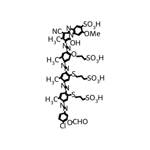 COc1cc2c(cc1S(=O)(=O)O)nc1c(C#N)c(C)c(N=Nc3cc(C)c(N=Nc4cc(C)c(N=Nc5cc(C)c(N=Nc6ccc(Cl)c(OC=O)c6)cc5SCCCS(=O)(=O)O)cc4SCCCS(=O)(=O)O)cc3OCCCS(=O)(=O)O)c(O)n12